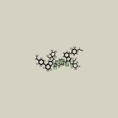 CCc1ccc(-c2cccc3c2C=C(CC2(CC)CCCC2)[CH]3[Zr]([Cl])([Cl])[CH2][SiH2][CH2][Zr]([Cl])([Cl])[CH]2C(CC3(CC)CCCC3)=Cc3c(-c4ccc(CC)cc4)cccc32)cc1